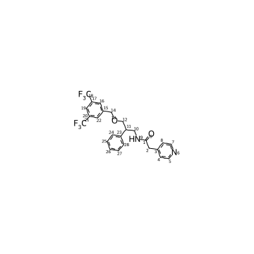 O=C(Cc1ccncc1)NCC(COCc1cc(C(F)(F)F)cc(C(F)(F)F)c1)c1ccccc1